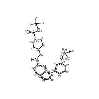 CC(C)(C)OC(=O)N1CCC(CNc2ccc3ncc(-c4cccc(OC(F)(F)F)c4)n3n2)CC1